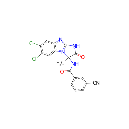 N#Cc1cccc(C(=O)NC2(C(F)(F)F)C(=O)Nc3nc4cc(Cl)c(Cl)cc4n32)c1